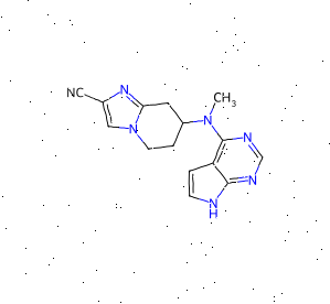 CN(c1ncnc2[nH]ccc12)C1CCn2cc(C#N)nc2C1